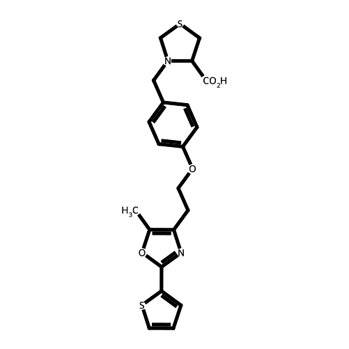 Cc1oc(-c2cccs2)nc1CCOc1ccc(CN2CSCC2C(=O)O)cc1